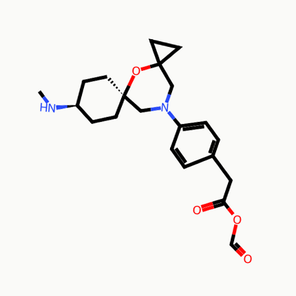 CN[C@H]1CC[C@@]2(CC1)CN(c1ccc(CC(=O)OC=O)cc1)CC1(CC1)O2